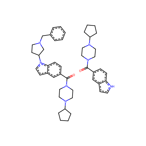 O=C(c1ccc2[nH]ccc2c1)N1CCN(C2CCCC2)CC1.O=C(c1ccc2c(ccn2C2CCN(Cc3ccccc3)C2)c1)N1CCN(C2CCCC2)CC1